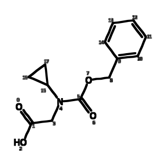 O=C(O)CN(C(=O)OCc1ccccc1)C1CC1